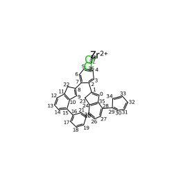 C1=C(c2ccccc2C2=Cc3c(cccc3-c3ccccc3)C2)Cc2cccc(-c3ccccc3)c21.[Cl-].[Cl-].[Zr+2]